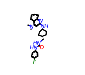 CN(C)c1cc(N[C@H]2CC[C@@H](CNC(=O)Nc3ccc(F)cc3)CC2)nc2ccccc12